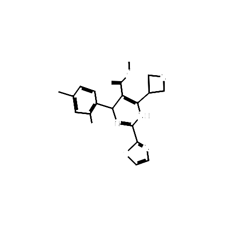 COC(=O)C1=C(C2CNC2)NC(c2nccs2)=NC1c1ccc(F)cc1Cl